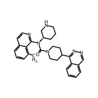 Cc1cccc2ccnc(N(C(=O)N3CCC(c4nncc5ccccc45)CC3)[C@@H]3CCCNC3)c12